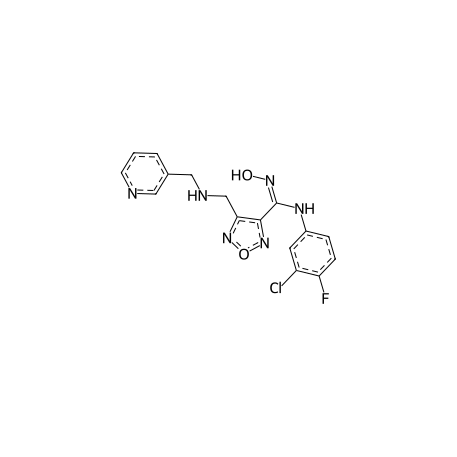 O/N=C(/Nc1ccc(F)c(Cl)c1)c1nonc1CNCc1cccnc1